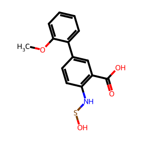 COc1ccccc1-c1ccc(NSO)c(C(=O)O)c1